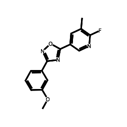 COc1cccc(-c2noc(-c3cnc(F)c(C)c3)n2)c1